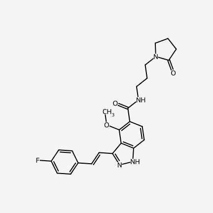 COc1c(C(=O)NCCCN2CCCC2=O)ccc2[nH]nc(/C=C/c3ccc(F)cc3)c12